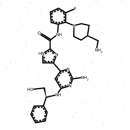 NCC1CCN(c2c(F)cccc2NC(=O)c2nc(-c3cc(N[C@H](CO)c4ccccc4)nc(N)n3)c[nH]2)CC1